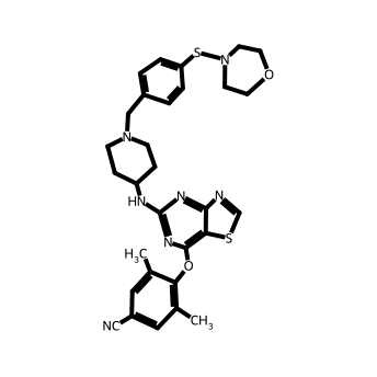 Cc1cc(C#N)cc(C)c1Oc1nc(NC2CCN(Cc3ccc(SN4CCOCC4)cc3)CC2)nc2ncsc12